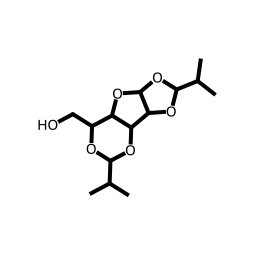 CC(C)C1OC2OC3C(CO)OC(C(C)C)OC3C2O1